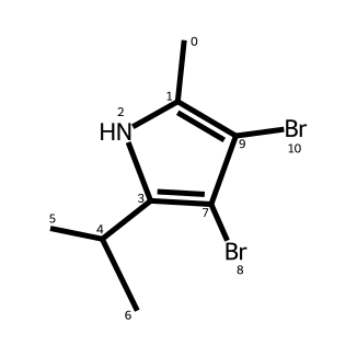 Cc1[nH]c(C(C)C)c(Br)c1Br